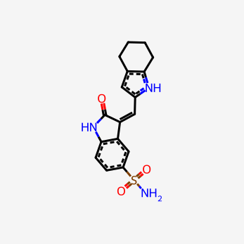 NS(=O)(=O)c1ccc2c(c1)C(=Cc1cc3c([nH]1)CCCC3)C(=O)N2